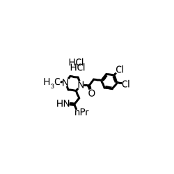 CCCC(=N)CC1CN(C)CCN1C(=O)Cc1ccc(Cl)c(Cl)c1.Cl.Cl